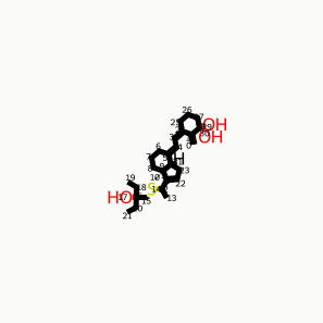 C=C1/C(=C\C=C2/CCC[C@]3(C)C(C(C)SCC(O)(CC)CC)=CC[C@@H]23)CCCC1(O)O